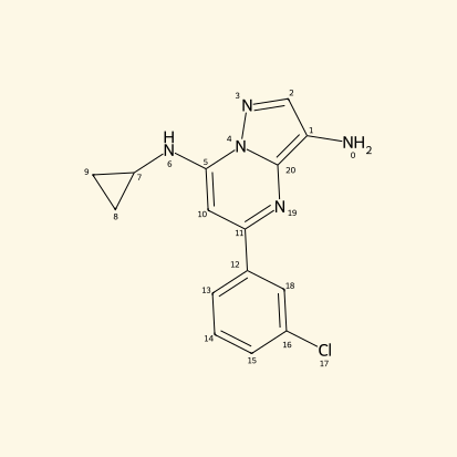 Nc1cnn2c(NC3CC3)cc(-c3cccc(Cl)c3)nc12